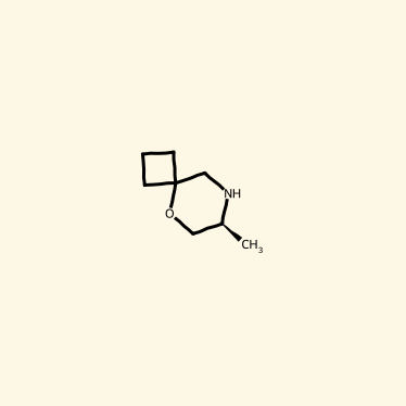 C[C@H]1COC2(CCC2)CN1